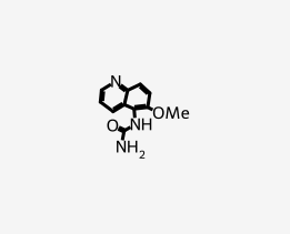 COc1ccc2ncccc2c1NC(N)=O